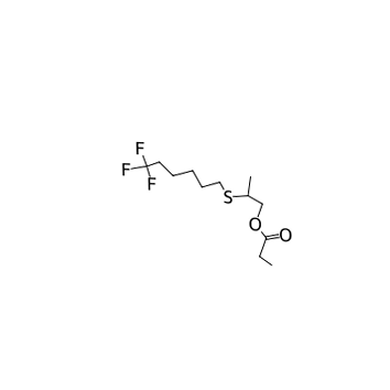 CCC(=O)OCC(C)SCCCCCC(F)(F)F